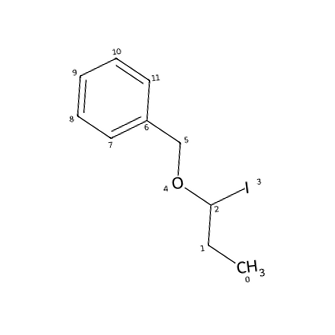 CCC(I)OCc1ccccc1